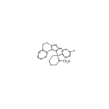 O=C(O)N1CCCCC1(c1ccc(F)cc1)c1[nH]nc2c1-c1ccccc1CC2